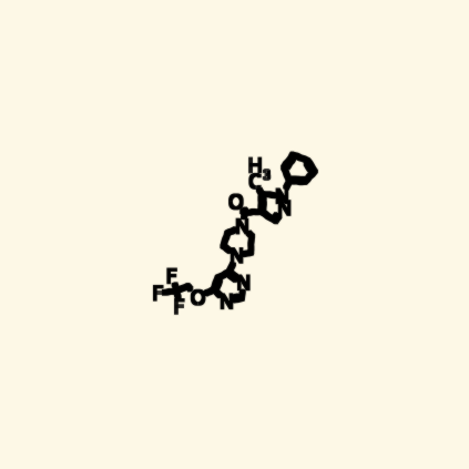 Cc1c(C(=O)N2CCN(c3cc(OCC(F)(F)F)ncn3)CC2)cnn1-c1ccccc1